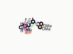 COc1ccc(CN(Cc2ccc(OC)cc2)c2cc(C)c(C(F)(F)F)c(-c3nc4c5c(nc(S(C)(=O)=O)nc5c3F)N3C[C@H]5CC[C@@H]([C@H]3[C@H](C)O4)N5C(=O)OC(C)(C)C)c2F)cc1